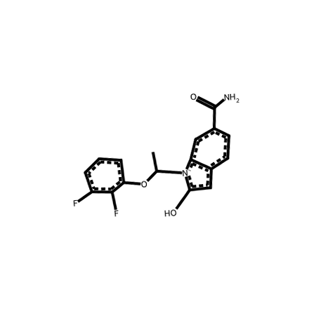 CC(Oc1cccc(F)c1F)n1c(O)cc2ccc(C(N)=O)cc21